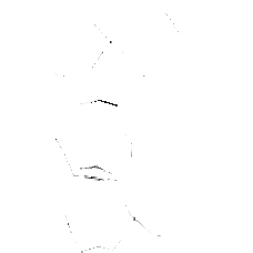 CC1(C)CCCc2ccc(C3COCCC3(C)C)cc21